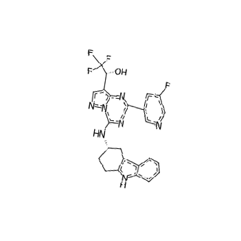 O[C@H](c1cnn2c(N[C@H]3CCc4[nH]c5ccccc5c4C3)nc(-c3cncc(F)c3)nc12)C(F)(F)F